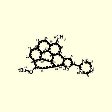 Cc1cc2c3cc(-c4ncncn4)sc3c3cc(OC(C)(C)C)c4ccc5ccc1c1c5c4c3c21